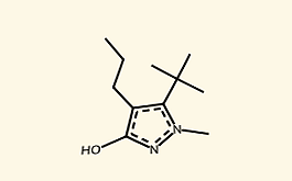 CCCc1c(O)nn(C)c1C(C)(C)C